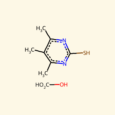 Cc1nc(S)nc(C)c1C.O=C(O)O